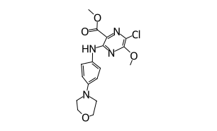 COC(=O)c1nc(Cl)c(OC)nc1Nc1ccc(N2CCOCC2)cc1